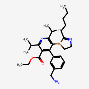 CCCCCC1=NCC[SH]1c1c(C(C)C)nc(C(C)C)c(C(=O)OCC)c1-c1cccc(CN)c1